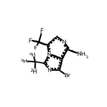 [2H]C([2H])([2H])c1nc(Br)c2c(N)ncc(C(F)(F)F)n12